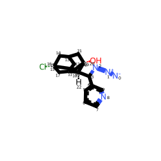 [N-]=[N+]=NC(c1cccnc1)[C@H]1C2CC3C[C@](Cl)(C2)C[C@@]1(O)C3